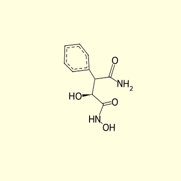 NC(=O)C(c1ccccc1)[C@H](O)C(=O)NO